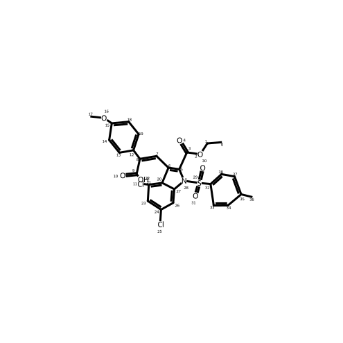 CCOC(=O)c1c(C=C(C(=O)O)c2ccc(OC)cc2)c2c(Cl)cc(Cl)cc2n1S(=O)(=O)c1ccc(C)cc1